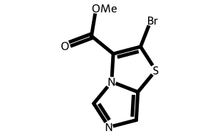 COC(=O)c1c(Br)sc2cncn12